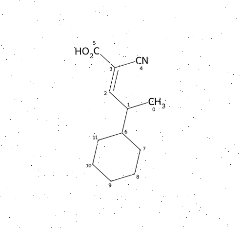 CC(/C=C(\C#N)C(=O)O)C1CCCCC1